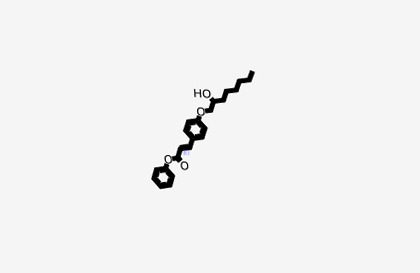 CCCCCCC(O)COc1ccc(/C=C/C(=O)Oc2ccccc2)cc1